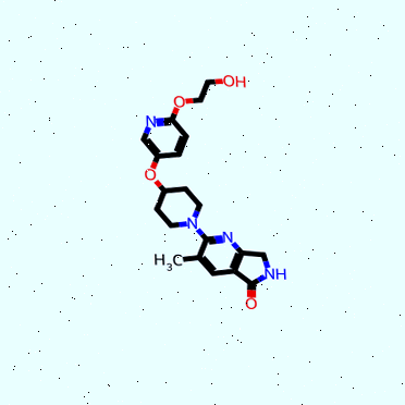 Cc1cc2c(nc1N1CCC(Oc3ccc(OCCO)nc3)CC1)CNC2=O